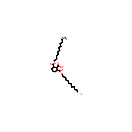 CCCCCCCCCCCCOC(=O)C1CCCC(C(=O)OCCCCCCCCCCCC)C1C(=O)O